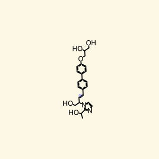 CC(O)c1nccn1C(/C=C/c1ccc(-c2ccc(OCC(O)CO)cc2)cc1)CO